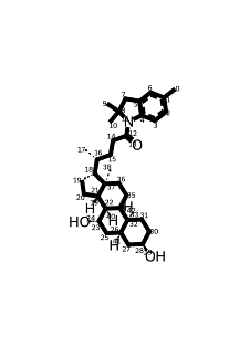 Cc1ccc2c(c1)CC(C)(C)N2C(=O)CC[C@@H](C)[C@H]1CC[C@H]2[C@@H]3[C@@H](O)C[C@@H]4C[C@H](O)CC[C@]4(C)[C@H]3CC[C@]12C